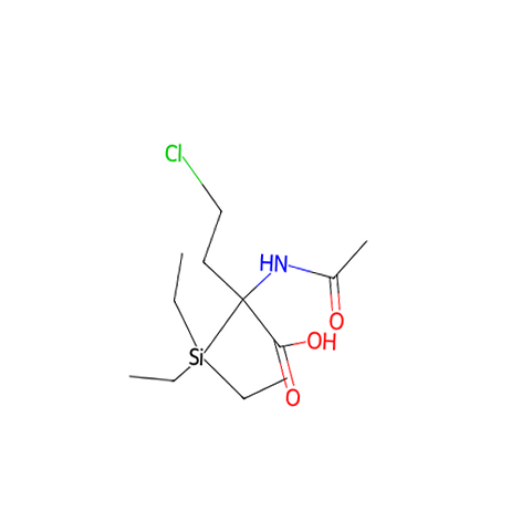 CC[Si](CC)(CC)C(CCCl)(NC(C)=O)C(=O)O